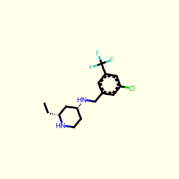 CC[C@@H]1C[C@H](NCc2cc(Cl)cc(C(F)(F)F)c2)CCN1